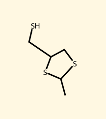 CC1SCC(CS)S1